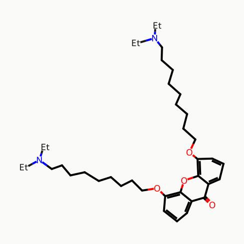 CCN(CC)CCCCCCCCCOc1cccc2c(=O)c3cccc(OCCCCCCCCCN(CC)CC)c3oc12